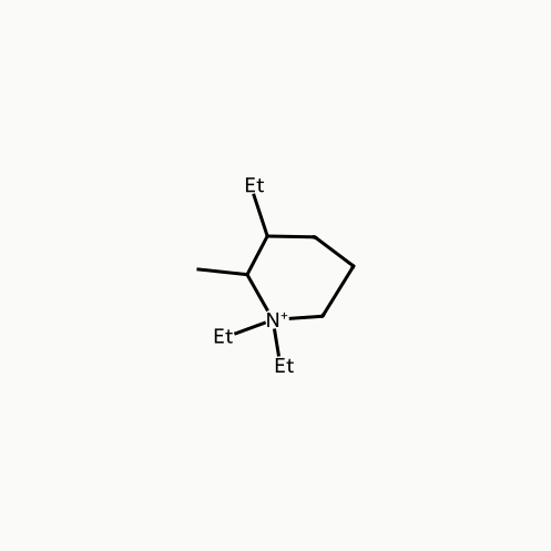 CCC1CCC[N+](CC)(CC)C1C